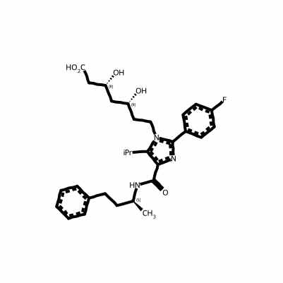 CC(C)c1c(C(=O)N[C@@H](C)CCc2ccccc2)nc(-c2ccc(F)cc2)n1CC[C@@H](O)C[C@@H](O)CC(=O)O